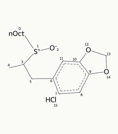 CCCCCCCC[S+]([O-])C(C)Cc1ccc2c(c1)OCO2.Cl